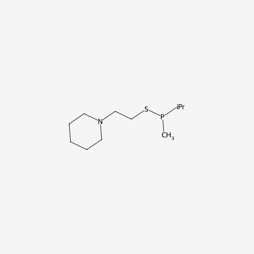 CC(C)P(C)SCCN1CCCCC1